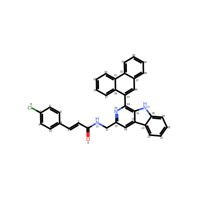 O=C(/C=C/c1ccc(Cl)cc1)NCc1cc2c([nH]c3ccccc32)c(-c2cc3ccccc3c3ccccc23)n1